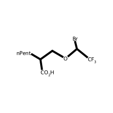 CCCCCC(COC(Br)C(F)(F)F)C(=O)O